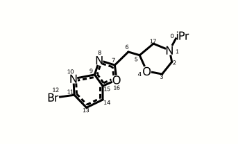 CC(C)N1CCOC(Cc2nc3nc(Br)ccc3o2)C1